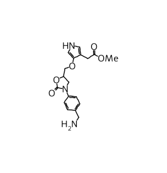 COC(=O)Cc1c[nH]cc1OCC1CN(c2ccc(CN)cc2)C(=O)O1